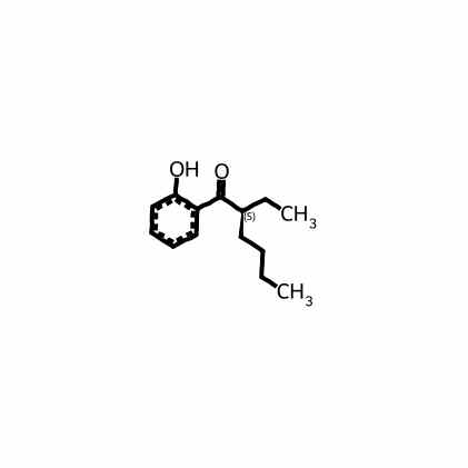 CCCC[C@H](CC)C(=O)c1ccccc1O